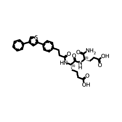 NC(=O)[C@H](CCC(=O)O)NC(=O)[C@H](CCCC(=O)O)NC(=O)CCc1ccc(-c2cc(-c3ccccc3)cs2)cc1